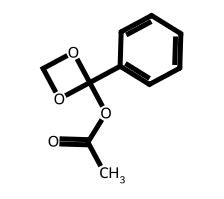 CC(=O)OC1(c2ccccc2)OCO1